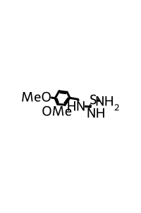 COc1ccc(CNC(=N)SN)c(OC)c1